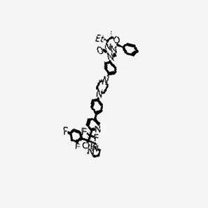 CC[C@@H]([C@H](C)OCc1ccccc1)n1ncn(-c2ccc(N3CCN(c4ccc(-c5ccc(C(F)(F)C(O)(CN6CCC=N6)c6ccc(F)cc6F)nc5)cc4)CC3)cc2)c1=O